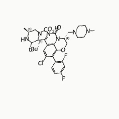 C[C@H]1CN(C(=O)O)[C@@](C)(c2nc(=O)n3c4c(c(-c5ccc(F)cc5F)c(Cl)cc24)OC[C@H]3CN2CCN(C)CC2)C(C(C)(C)C)N1